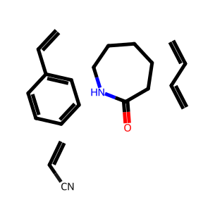 C=CC#N.C=CC=C.C=Cc1ccccc1.O=C1CCCCCN1